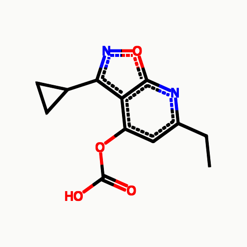 CCc1cc(OC(=O)O)c2c(C3CC3)noc2n1